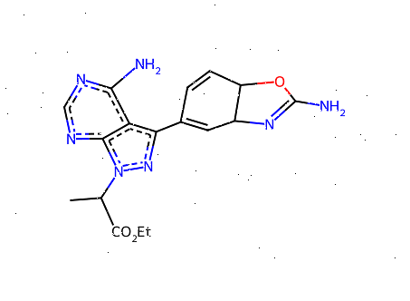 CCOC(=O)C(C)n1nc(C2=CC3N=C(N)OC3C=C2)c2c(N)ncnc21